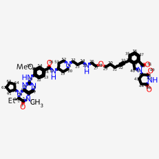 CC[C@@H]1C(=O)N(C)c2cnc(Nc3ccc(C(=O)NC4CCN(CCCNCCOCCCC#Cc5cccc6c5CN(C5CCC(=O)NC5=O)C6=O)CC4)cc3OC)nc2N1C1CCCC1